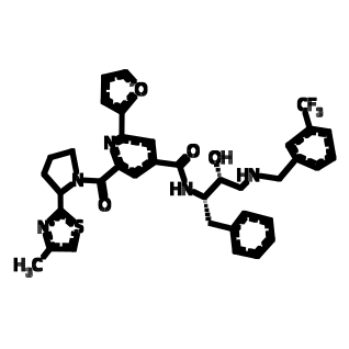 Cc1csc(C2CCCN2C(=O)c2cc(C(=O)N[C@@H](Cc3ccccc3)[C@H](O)CNCc3cccc(C(F)(F)F)c3)cc(-c3ccco3)n2)n1